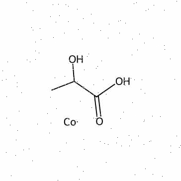 CC(O)C(=O)O.[Co]